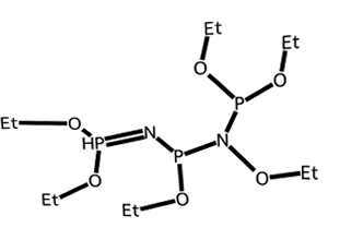 CCON(P(N=[PH](OCC)OCC)OCC)P(OCC)OCC